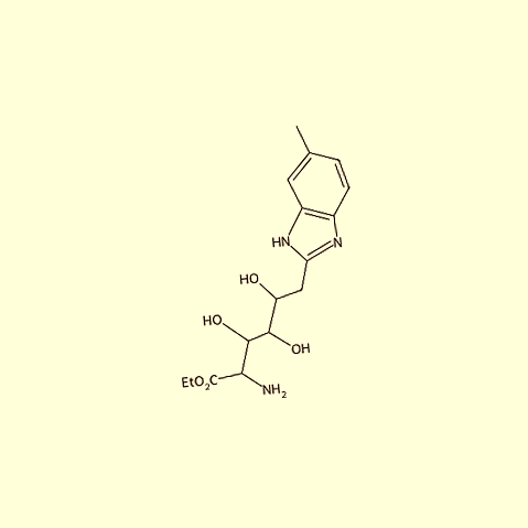 CCOC(=O)C(N)C(O)C(O)C(O)Cc1nc2ccc(C)cc2[nH]1